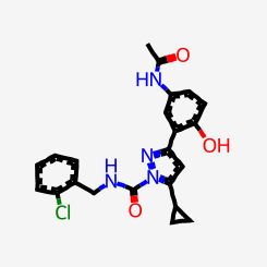 CC(=O)Nc1ccc(O)c(-c2cc(C3CC3)n(C(=O)NCc3ccccc3Cl)n2)c1